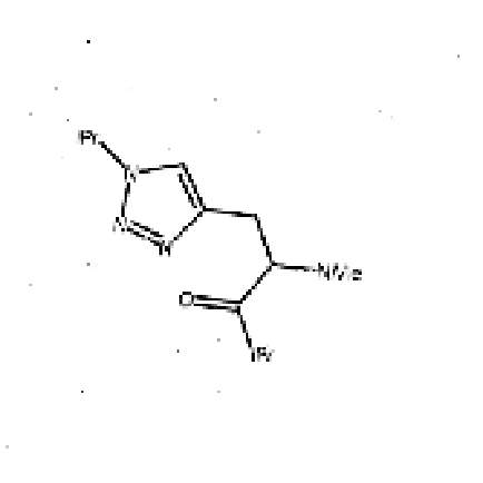 CNC(Cc1cn(C(C)C)nn1)C(=O)C(C)C